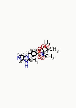 CC(=O)N([C@@H](CC(C)C)C(=O)O)S(=O)(=O)c1ccc(CN2c3ccncc3NC2C)cc1